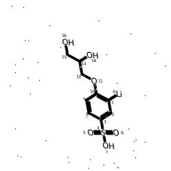 [Li][c]1cc(S(=O)(=O)O)ccc1OCC(O)CO